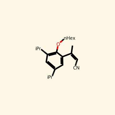 CCCCCCOc1c(/C(C)=C\C#N)cc(C(C)C)cc1C(C)C